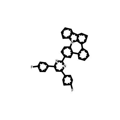 Fc1ccc(-c2cc(-c3ccc(F)cc3)nc(-c3ccc4c(c3)-c3ccccc3-c3cccc5c6ccccc6n-4c35)n2)cc1